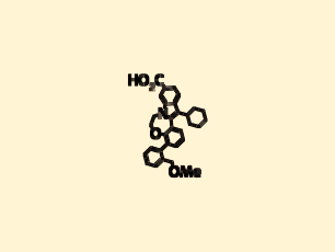 COCc1ccccc1-c1cccc2c1OCCn1c-2c(C2CCCCC2)c2ccc(C(=O)O)cc21